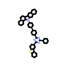 c1ccc(-c2nc(-c3ccc(-c4ccc(-n5c6cc7ccccc7cc6c6ccc7ccccc7c65)cc4)cc3)nc(-c3ccc4sc5ccccc5c4c3)n2)cc1